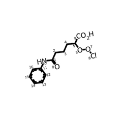 O=C(CCCC(OOCl)C(=O)O)Nc1ccccc1